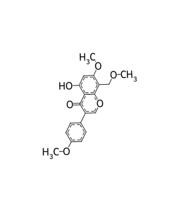 COCc1c(OC)cc(O)c2c(=O)c(-c3ccc(OC)cc3)coc12